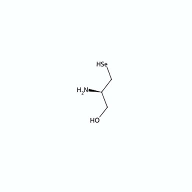 N[C@H](CO)C[SeH]